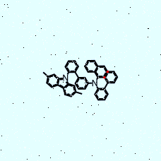 Cc1ccc2c3ccc(C)cc3n(-c3ccccc3-c3cccc(N(c4ccccc4-c4ccccc4)c4cccc5ccccc45)c3)c2c1